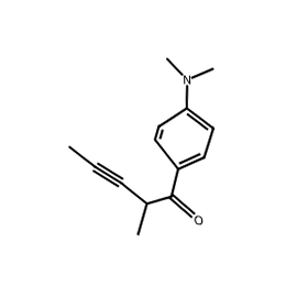 CC#CC(C)C(=O)c1ccc(N(C)C)cc1